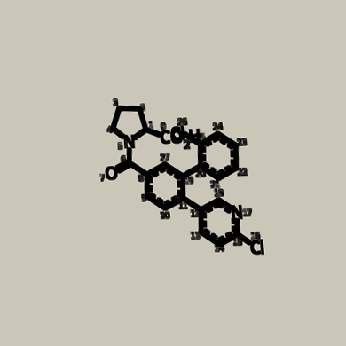 O=C(O)C1CCCN1C(=O)c1ccc(-c2ccc(Cl)nc2)c(-c2ccccc2Cl)c1